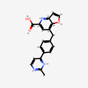 Cc1nccc(-c2ccc(Cc3cc(C(=O)O)nc4ccoc34)cc2)n1